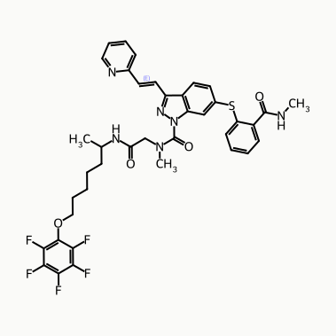 CNC(=O)c1ccccc1Sc1ccc2c(/C=C/c3ccccn3)nn(C(=O)N(C)CC(=O)NC(C)CCCCCOc3c(F)c(F)c(F)c(F)c3F)c2c1